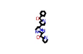 O=C(c1ccccc1)c1cc(-c2ccnc3c(C(=O)c4ccccn4)cnn23)ccn1